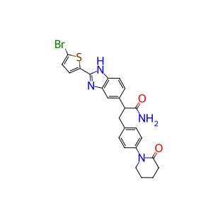 NC(=O)C(Cc1ccc(N2CCCCC2=O)cc1)c1ccc2[nH]c(-c3ccc(Br)s3)nc2c1